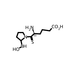 N[C@@H](CCCC(=O)O)C(=S)N1CCCC1BO